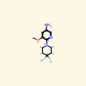 COc1cc(N)cnc1N1CCC(F)(F)CC1